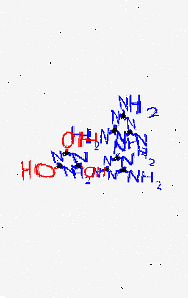 Nc1nc(N)nc(N)n1.Nc1nc(N)nc(N)n1.Oc1nc(O)nc(O)n1